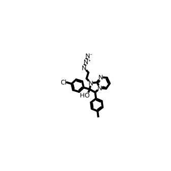 Cc1ccc(C2[n+]3cccnc3N(CCN=[N+]=[N-])C2(O)c2ccc(Cl)cc2)cc1